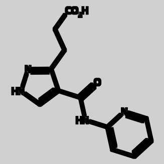 O=C(O)CCc1n[nH]cc1C(=O)Nc1ccccn1